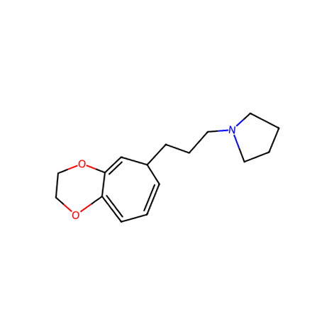 C1=CC(CCCN2CCCC2)C=C2OCCOC2=C1